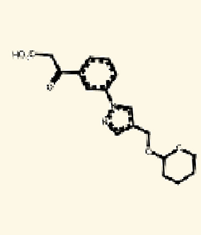 O=C(O)CC(=O)c1cccc(-n2cc(COC3CCCCO3)cn2)c1